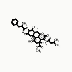 COC(=O)C1(C)CC(O)C2C3(C)CC(=O)C(OC(=O)C(N)Cc4ccccc4)=C(C)C3CC3OC(=O)C(OC(=O)C=C(C)C)C1[C@]32C